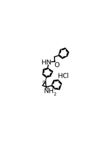 Cl.N[C@@]1(c2ccccc2)C[C@H]1c1ccc(NC(=O)Cc2ccccc2)cc1